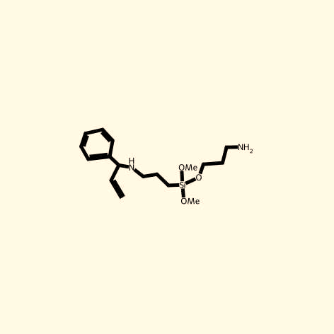 C=CC(NCCC[Si](OC)(OC)OCCCN)c1ccccc1